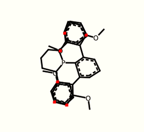 COc1cccc(OC)c1-c1cccc(-c2c(OC)cccc2OC)c1P1C(c2ccccc2)CCCC1c1ccccc1